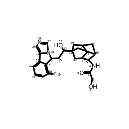 O=C(CO)NC1C2CC3CC1CC(C(O)CC1c4c(F)cccc4-c4cncn41)(C3)C2